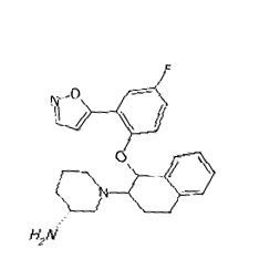 N[C@@H]1CCCN(C2CCc3ccccc3C2Oc2ccc(F)cc2-c2ccno2)C1